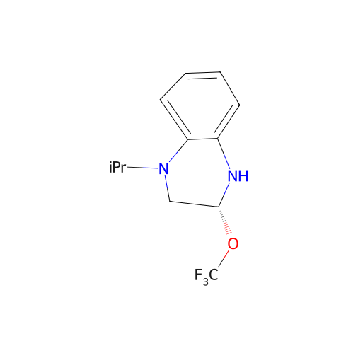 CC(C)N1C[C@@H](OC(F)(F)F)Nc2ccccc21